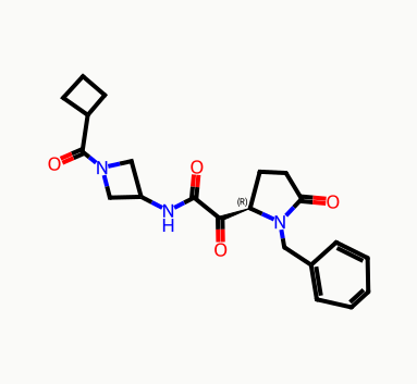 O=C(NC1CN(C(=O)C2CCC2)C1)C(=O)[C@H]1CCC(=O)N1Cc1ccccc1